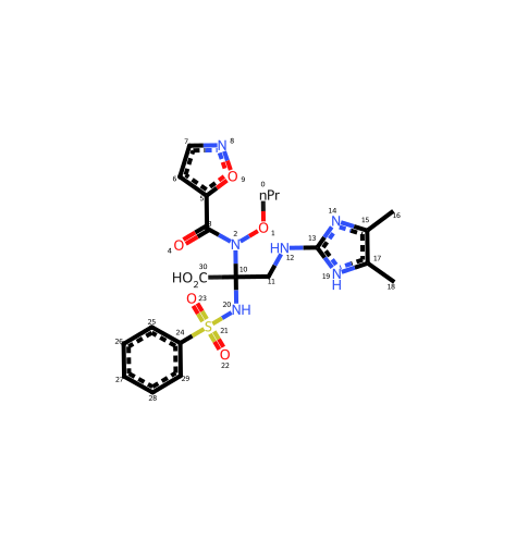 CCCON(C(=O)c1ccno1)C(CNc1nc(C)c(C)[nH]1)(NS(=O)(=O)c1ccccc1)C(=O)O